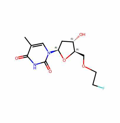 Cc1cn([C@H]2C[C@H](O)[C@@H](COCCF)O2)c(=O)[nH]c1=O